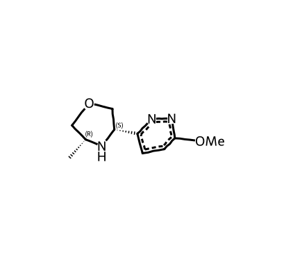 COc1ccc([C@H]2COC[C@@H](C)N2)nn1